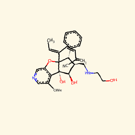 C=C(C#N)/C=C\C(=C/C)C12Oc3cncc(OC)c3[C@]1(O)[C@H](O)[C@H](CNCCO)[C@H]2c1ccccc1